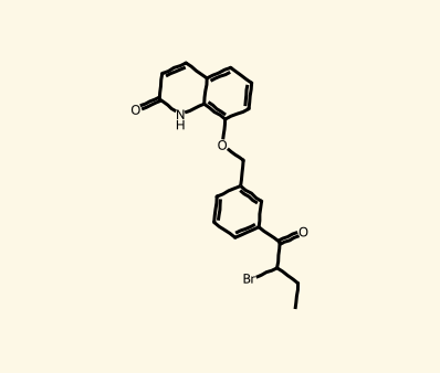 CCC(Br)C(=O)c1cccc(COc2cccc3ccc(=O)[nH]c23)c1